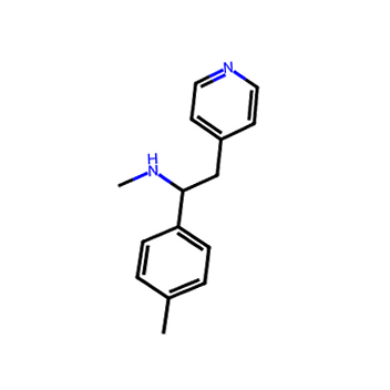 CNC(Cc1ccncc1)c1ccc(C)cc1